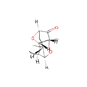 C[C@@H]1[C@@H]2O[C@H]3C(=O)[C@H](O[C@@H]13)[C@H]2C